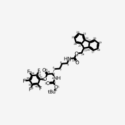 CC(C)(C)OC(=O)N[C@@H](CCCCNC(=O)OCC1c2ccccc2-c2ccccc21)C(=O)Oc1c(F)c(F)c(F)c(F)c1F